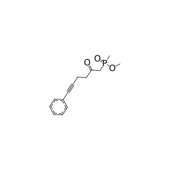 COP(C)(=O)CC(=O)CCC#Cc1ccccc1